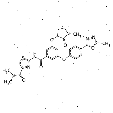 Cc1nnc(-c2ccc(Oc3cc(OC4CCN(C)C4=O)cc(C(=O)Nc4nc(C(=O)N(C)C)cs4)c3)cc2)o1